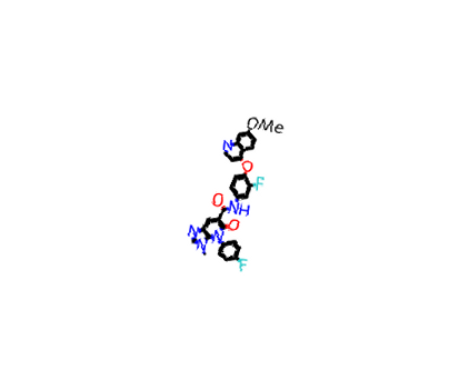 COc1ccc2c(Oc3ccc(NC(=O)c4cc5ncn(C)c5n(-c5ccc(F)cc5)c4=O)cc3F)ccnc2c1